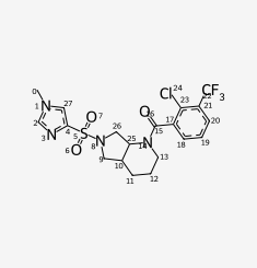 Cn1cnc(S(=O)(=O)N2CC3CCCN(C(=O)c4cccc(C(F)(F)F)c4Cl)C3C2)c1